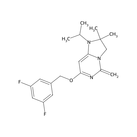 C=C1N=C(OCc2cc(F)cc(F)c2)C=C2N1CC(C)(C)N2C(C)C